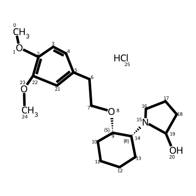 COc1ccc(CCO[C@H]2CCCC[C@H]2N2CCCC2O)cc1OC.Cl